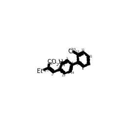 CCC(=Cc1ccc(-c2ccccc2Cl)cc1)C(=O)O